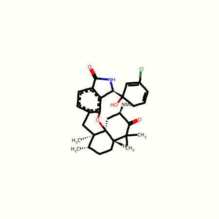 CN[C@@H]1C[C@@]23Oc4c(ccc5c4[C@H](C4(O)C=C(Cl)C=CC4)NC5=O)C[C@]2(C)[C@@H](C)CC[C@H]3C(C)(C)C1=O